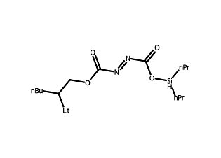 CCCCC(CC)COC(=O)N=NC(=O)O[SiH](CCC)CCC